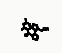 Cc1ccc(C(=O)C2=C(n3cccc3CO)C=CC2)c(C)c1